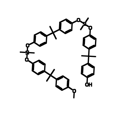 COc1ccc(C(C)(C)c2ccc(O[Si](C)(C)Oc3ccc(C(C)(C)c4ccc(O[Si](C)(C)Oc5ccc(C(C)(C)c6ccc(O)cc6)cc5)cc4)cc3)cc2)cc1